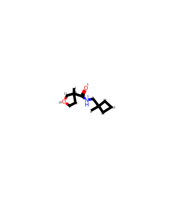 CC1(CNC(=O)C2(C)CCOC2)CCC1